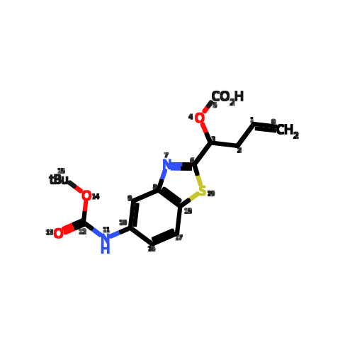 C=CCC(OC(=O)O)c1nc2cc(NC(=O)OC(C)(C)C)ccc2s1